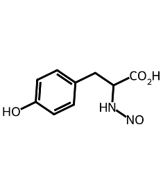 O=NNC(Cc1ccc(O)cc1)C(=O)O